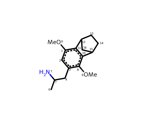 COc1cc(CC(C)N)c(OC)c2c1C1CCC2C1